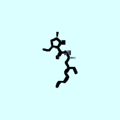 C=C/C=C\C=C(/C=C)C[C@@H](C)NC(=O)C1N[C@H](C)C[C@@H]1CC